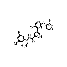 NC[C@@H](NC(=O)c1cc(-c2nc(N[C@H]3CCOC[C@@H]3F)ncc2Cl)c[nH]1)c1cc(F)cc(Cl)c1